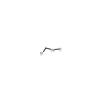 CC[CH2][Hg][CH2]C